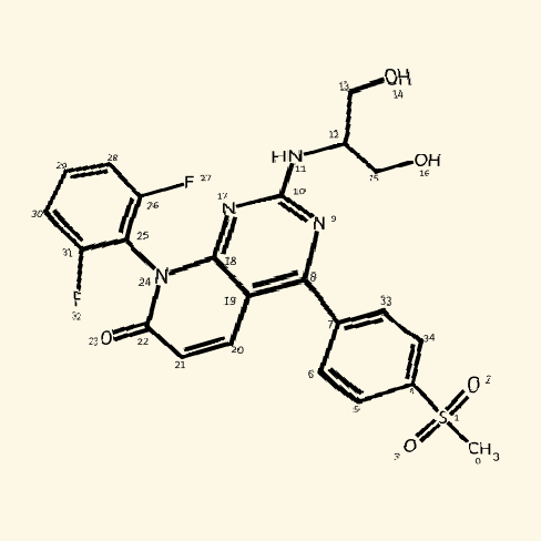 CS(=O)(=O)c1ccc(-c2nc(NC(CO)CO)nc3c2ccc(=O)n3-c2c(F)cccc2F)cc1